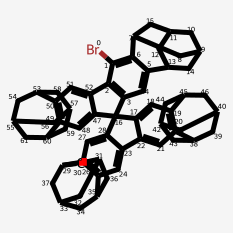 Brc1c2c(cc3c1C1CC4CC(CC3C4)C1)C1(c3cc4c(cc3-c3cc5c(cc31)C1CC3CC(CC5C3)C1)C1CC3CC(C1)CC4C3)c1cc3c(cc1-2)C1CC2CC(C1)CC3C2